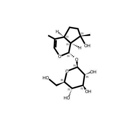 CC1=CO[C@@H](O[C@@H]2O[C@H](CO)[C@@H](O)[C@H](O)[C@H]2O)[C@H]2[C@@H]1CC[C@]2(C)O